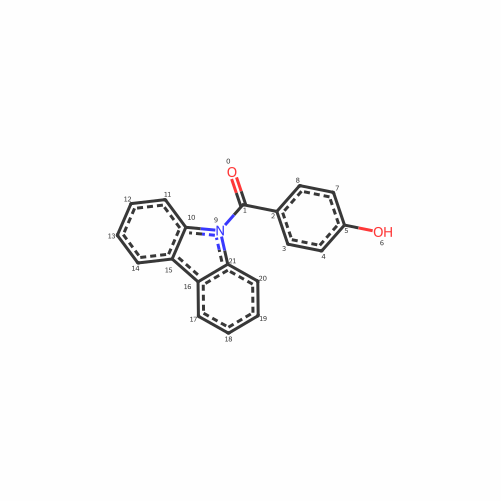 O=C(c1ccc(O)cc1)n1c2ccccc2c2ccccc21